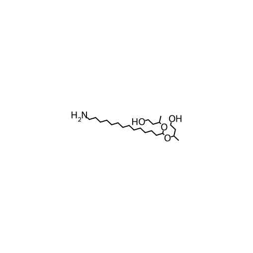 CC(CCO)OC(CCCCCCCCCCCCCN)OC(C)CCO